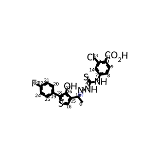 C/C(=N\NC(=S)Nc1ccc(C(=O)O)c(Cl)c1)c1csc(-c2ccc(F)cc2)c1O